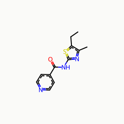 CCc1sc(NC(=O)c2ccncc2)nc1C